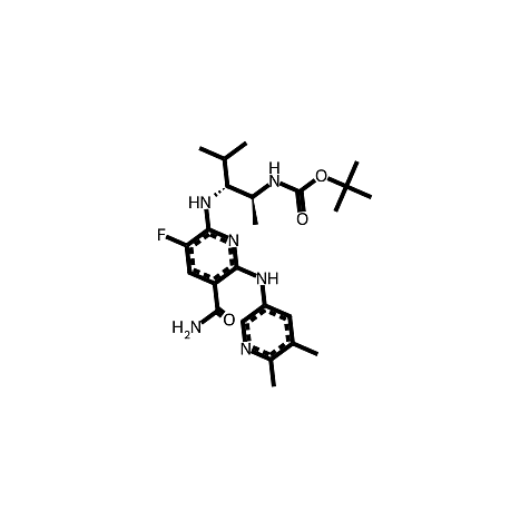 Cc1cc(Nc2nc(N[C@H](C(C)C)[C@H](C)NC(=O)OC(C)(C)C)c(F)cc2C(N)=O)cnc1C